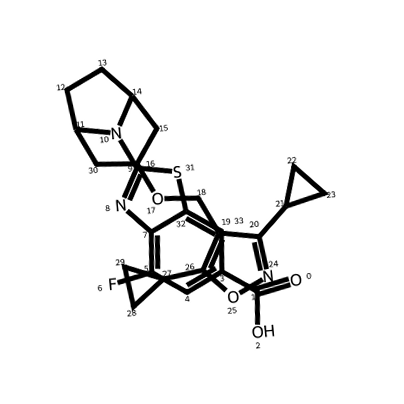 O=C(O)c1cc(F)c2nc(N3C4CCC3CC(OCc3c(C5CC5)noc3C3CC3)C4)sc2c1